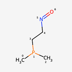 CP(C)CCN=O